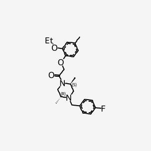 CCOc1cc(C)ccc1OCC(=O)N1C[C@@H](C)N(Cc2ccc(F)cc2)C[C@@H]1C